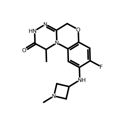 CC1C(=O)NN=C2COc3cc(F)c(NC4CN(C)C4)cc3N21